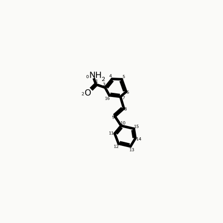 NC(=O)c1cccc(C=Cc2ccccc2)c1